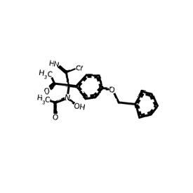 CC(=O)N(O)C(C(=N)Cl)(C(C)=O)c1ccc(OCc2ccccc2)cc1